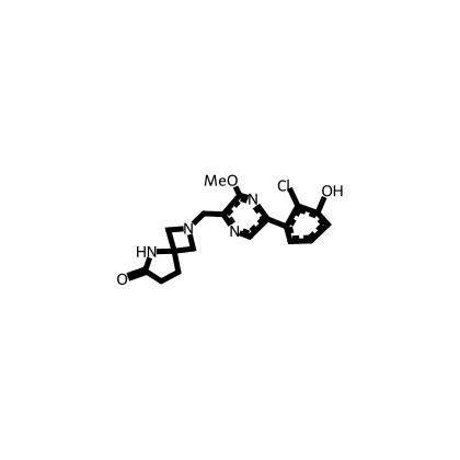 COc1nc(-c2cccc(O)c2Cl)cnc1CN1CC2(CCC(=O)N2)C1